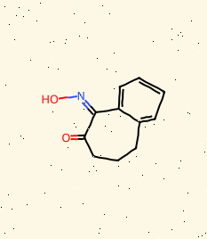 O=C1CCCc2ccccc2C1=NO